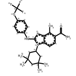 Cc1c(C(N)=O)ccc2c1nc(Nc1ccc(OC(F)(F)F)cc1)n2C1CC(C)(C)CC(C)(C)C1